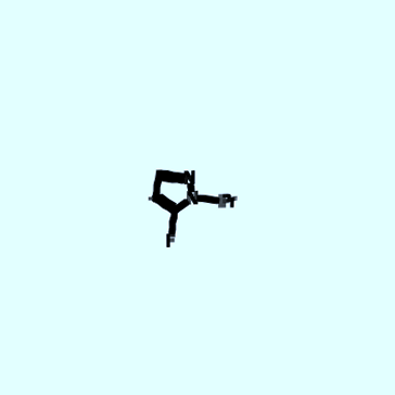 CC(C)n1nc[c]c1F